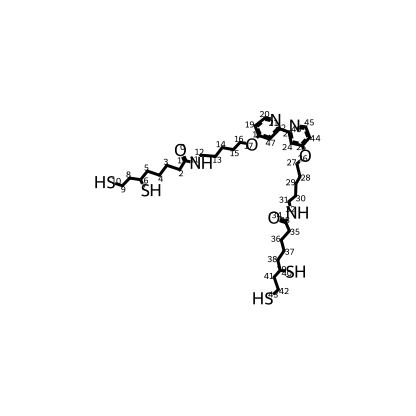 O=C(CCCCC(S)CCS)NCCCCCOc1ccnc(-c2cc(OCCCCCNC(=O)CCCCC(S)CCS)ccn2)c1